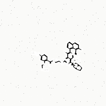 C#Cc1c(F)ccc2cccc(-c3ncc4c(N5CC6CCC(C5)N6C(=O)OC(C)(C)C)nc(OCCNC(=O)c5ccc(S(=O)(=O)O)cc5OCOC)nc4c3F)c12